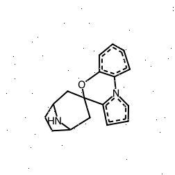 c1ccc2c(c1)OC1(CC3CCC(C1)N3)c1cccn1-2